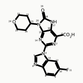 O=C(O)c1nc(-n2cnc3ccc(F)cc32)nc2c1[nH]c(=O)n2C1CCOCC1